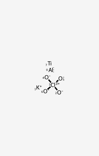 [Al].[K+].[O-][Cl+3]([O-])([O-])[O-].[Ti]